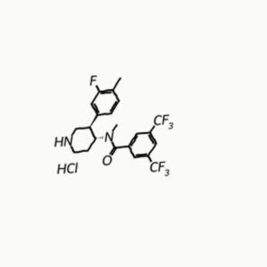 Cc1ccc([C@@H]2CNCC[C@H]2N(C)C(=O)c2cc(C(F)(F)F)cc(C(F)(F)F)c2)cc1F.Cl